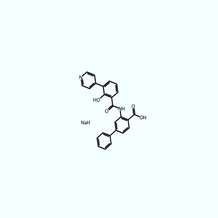 O=C(O)c1ccc(-c2ccccc2)cc1NC(=O)c1cccc(-c2ccncc2)c1O.[NaH]